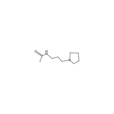 O=C(I)NCCCN1CCCC1